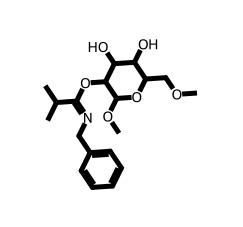 COCC1OC(OC)C(O/C(=N/Cc2ccccc2)C(C)C)C(O)C1O